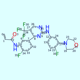 C=CC(=O)Nc1cc(-c2nc(Nc3ccc(F)c(N4CCOCC4)c3)ncc2C(F)(F)F)ccc1F